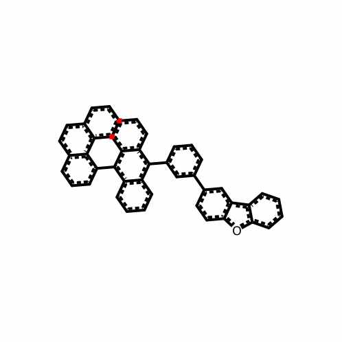 c1cc(-c2ccc3oc4ccccc4c3c2)cc(-c2c3ccccc3c(-c3cccc4ccc5ccccc5c34)c3ccccc23)c1